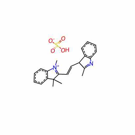 CC1=Nc2ccccc2C1C=CC1=[N+](C)c2ccccc2C1(C)C.O=S(=O)([O-])O